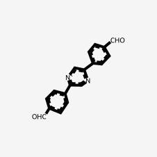 O=Cc1ccc(-c2cnc(-c3ccc(C=O)cc3)cn2)cc1